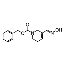 O=C(OCc1ccccc1)N1CCC=C(C=NO)C1